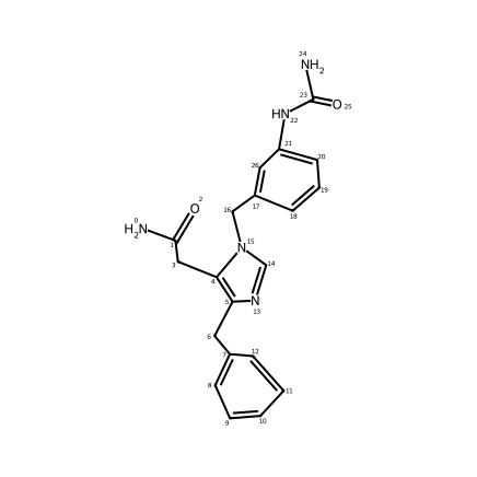 NC(=O)Cc1c(Cc2ccccc2)ncn1Cc1cccc(NC(N)=O)c1